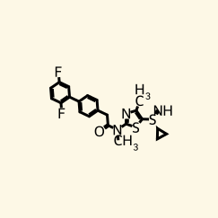 Cc1nc(N(C)C(=O)Cc2ccc(-c3cc(F)ccc3F)cc2)sc1[S@](=N)C1CC1